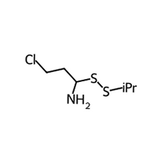 CC(C)SSC(N)CCCl